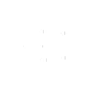 CC(C)[Si](C)(C)Cl